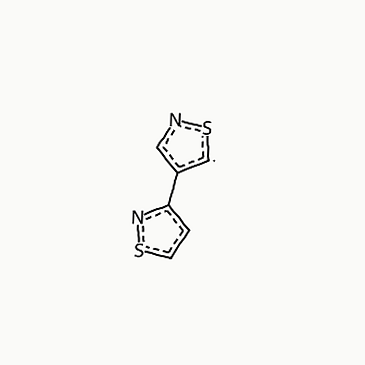 [c]1sncc1-c1ccsn1